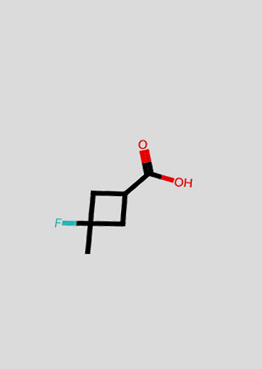 CC1(F)CC(C(=O)O)C1